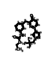 CCOC(=O)Nc1cccc(Cc2nn(-c3cnn(CC(F)(F)F)c3)ccc2=O)c1